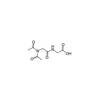 CC(=O)N(CC(=O)NCC(=O)O)C(C)=O